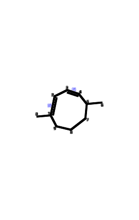 C/C1=C/C=C\C(C)CCC1